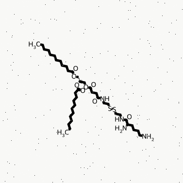 CCCCCCCCCCCC(=O)OC[C@H](COC(=O)CCC(=O)NCCSSCCNC(=O)C(N)CCCCN)OC(=O)CCCCCCCCCCC